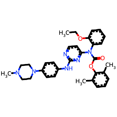 CCOc1ccccc1N(C(=O)Oc1c(C)cccc1C)c1ccnc(Nc2ccc(N3CCN(C)CC3)cc2)n1